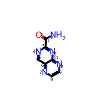 NC(=O)c1ncc2nccnc2n1